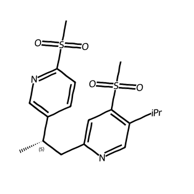 CC(C)c1cnc(C[C@H](C)c2ccc(S(C)(=O)=O)nc2)cc1S(C)(=O)=O